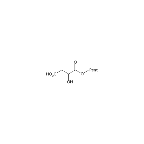 CCCC(C)OC(=O)C(O)CC(=O)O